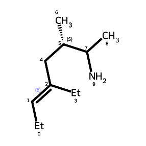 CC/C=C(\CC)C[C@H](C)C(C)N